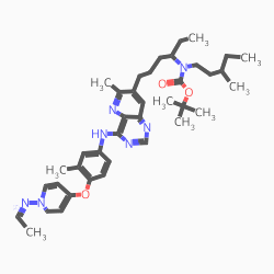 C/C=N\N1C=CC(Oc2ccc(Nc3ncnc4cc(CCCC(CC)N(CCC(C)CC)C(=O)OC(C)(C)C)c(C)nc34)cc2C)=CC1